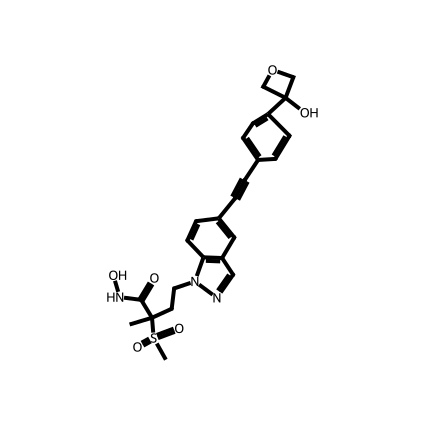 CC(CCn1ncc2cc(C#Cc3ccc(C4(O)COC4)cc3)ccc21)(C(=O)NO)S(C)(=O)=O